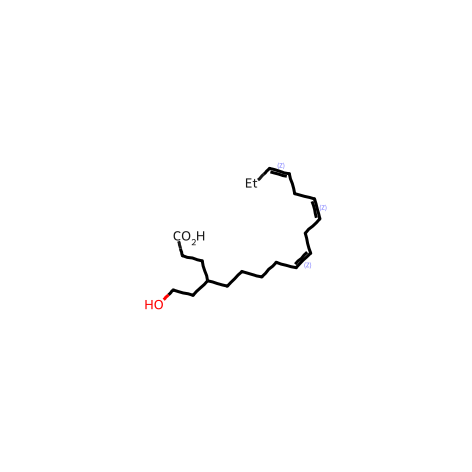 CC/C=C\C/C=C\C/C=C\CCCCC(CCO)CCC(=O)O